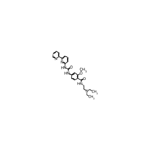 CCN(CC)CCNC(=O)c1ccc(NC(=O)Nc2cccc(-c3ccccn3)n2)cc1OC